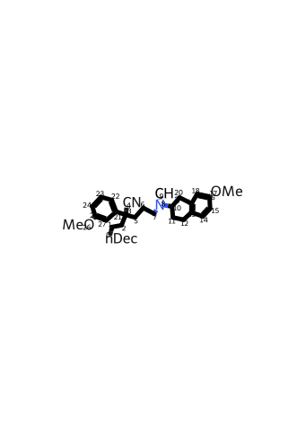 CCCCCCCCCCCCC(C#N)(CCCN(C)C1CCc2ccc(OC)cc2C1)c1cccc(OC)c1